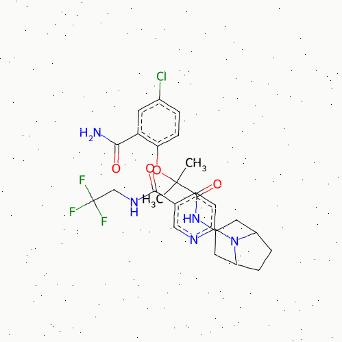 CC(C)(Oc1ccc(Cl)cc1C(N)=O)C(=O)NC1CC2CCC(C1)N2c1ccc(C(=O)NCC(F)(F)F)cn1